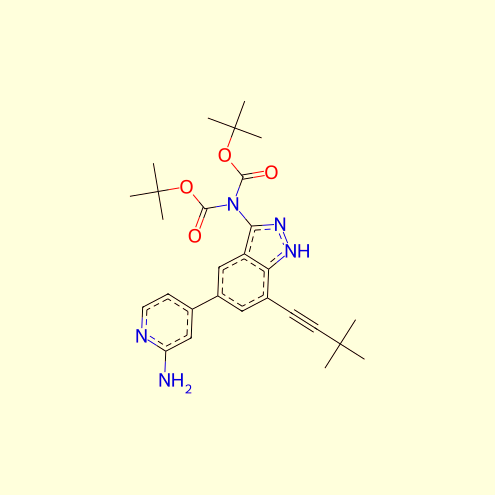 CC(C)(C)C#Cc1cc(-c2ccnc(N)c2)cc2c(N(C(=O)OC(C)(C)C)C(=O)OC(C)(C)C)n[nH]c12